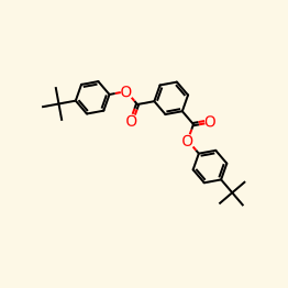 CC(C)(C)c1ccc(OC(=O)c2cccc(C(=O)Oc3ccc(C(C)(C)C)cc3)c2)cc1